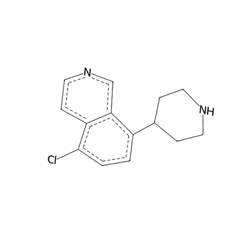 Clc1ccc(C2CCNCC2)c2cnccc12